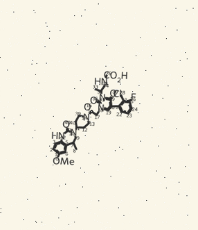 COc1ccc2c(c1)C(C)CN(C1CCN(C(=O)Cn3cc(-c4cccc(F)c4Cl)c(=O)n(C(C)CNC(=O)O)c3=O)CC1)C(=O)N2